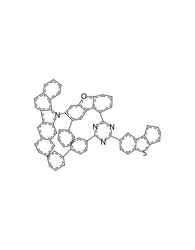 c1ccc(-c2ccc(-c3nc(-c4ccc5sc6ccccc6c5c4)nc(-c4cccc5oc6cc(-n7c8cc9ccccc9cc8c8ccc9ccccc9c87)c(-c7ccccc7)cc6c45)n3)cc2)cc1